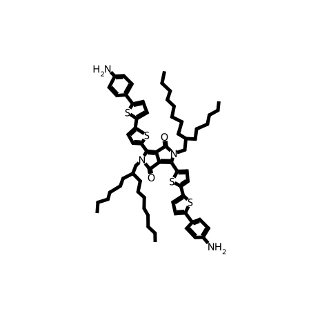 CCCCCCCCC(CCCCCC)CN1C(=O)C2=C(c3ccc(-c4ccc(-c5ccc(N)cc5)s4)s3)N(CC(CCCCCC)CCCCCCCC)C(=O)C2=C1c1ccc(-c2ccc(-c3ccc(N)cc3)s2)s1